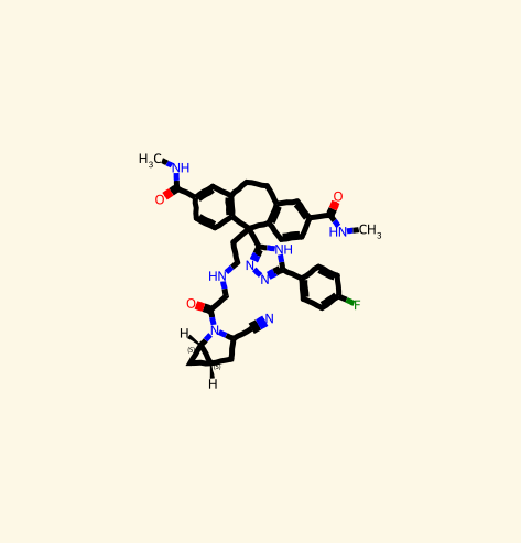 CNC(=O)c1ccc2c(c1)CCc1cc(C(=O)NC)ccc1C2(CCNCC(=O)N1C(C#N)C[C@@H]2C[C@@H]21)c1nnc(-c2ccc(F)cc2)[nH]1